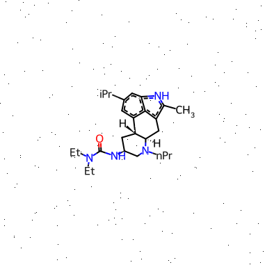 CCCN1C[C@@H](NC(=O)N(CC)CC)C[C@@H]2c3cc(C(C)C)cc4[nH]c(C)c(c34)C[C@H]21